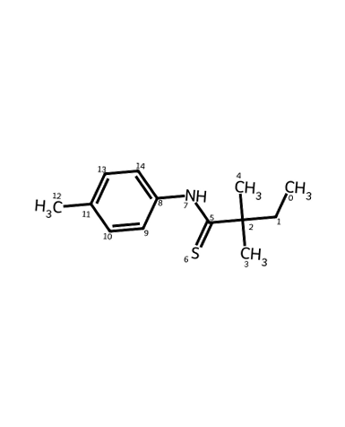 CCC(C)(C)C(=S)Nc1ccc(C)cc1